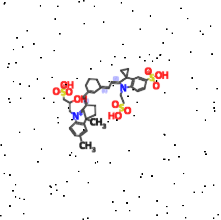 Cc1ccc2c(c1)C1(C)CC/C(=C\C3=CC(=C/C=C4\N(CCS(=O)(=O)O)c5ccc(S(=O)(=O)O)cc5C45CC5)/CCC3)C1=[N+]2CC(O)CS(=O)(=O)O